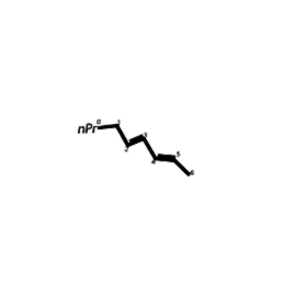 [CH2]CCCC=CC=CC